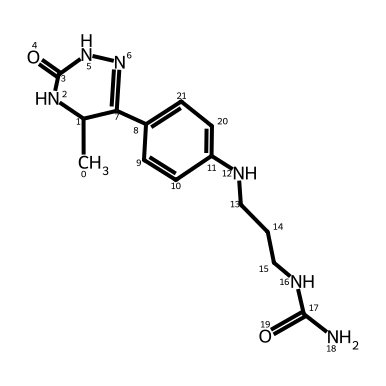 CC1NC(=O)NN=C1c1ccc(NCCCNC(N)=O)cc1